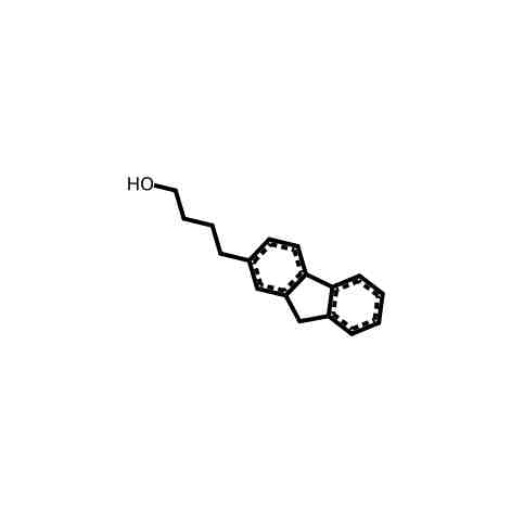 OCCCCc1ccc2c(c1)Cc1ccccc1-2